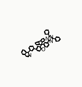 c1ccc(-c2nc(-c3ccccc3)nc(-c3ccc4c(c3)C3(c5cc(-c6cccc(-c7nccc8ccccc78)c6)ccc5O4)c4ccccc4-c4ccccc43)n2)cc1